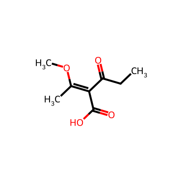 CCC(=O)C(C(=O)O)=C(C)OC